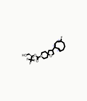 O=C(O[C@H](CO)C(F)(F)F)N1CCC2(CC1)CC(C1=C/C=C(/F)CCC\C=C\1)CO2